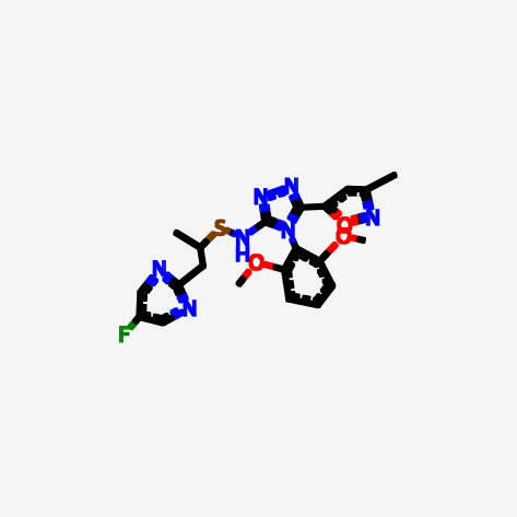 COc1cccc(OC)c1-n1c(NSC(C)Cc2ncc(F)cn2)nnc1-c1cc(C)no1